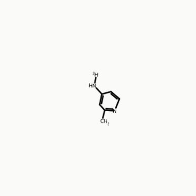 [3H]Nc1ccnc(C)c1